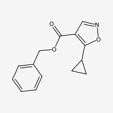 O=C(OCc1ccccc1)c1cnoc1C1CC1